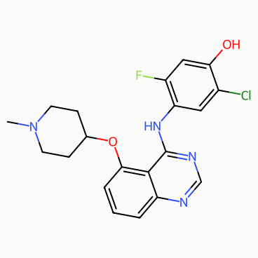 CN1CCC(Oc2cccc3ncnc(Nc4cc(Cl)c(O)cc4F)c23)CC1